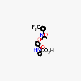 Cc1oc(-c2cccc(C(F)(F)F)c2)nc1COC1CCCC(C(=O)NC2(C(=O)O)CCCC2)C1